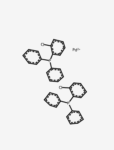 Clc1ccccc1P(c1ccccc1)c1ccccc1.Clc1ccccc1P(c1ccccc1)c1ccccc1.[Pd+2]